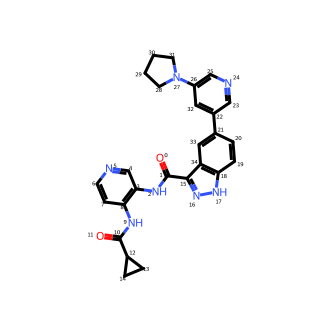 O=C(Nc1cnccc1NC(=O)C1CC1)c1n[nH]c2ccc(-c3cncc(N4CCCC4)c3)cc12